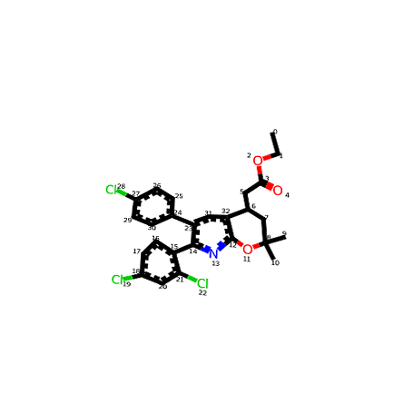 CCOC(=O)CC1CC(C)(C)Oc2nc(-c3ccc(Cl)cc3Cl)c(-c3ccc(Cl)cc3)cc21